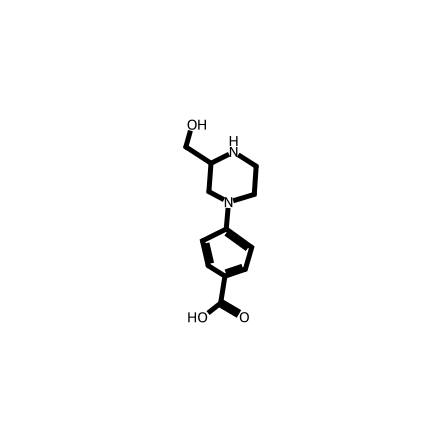 O=C(O)c1ccc(N2CCNC(CO)C2)cc1